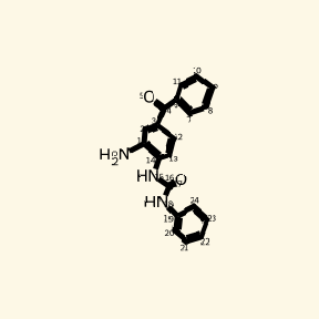 Nc1cc(C(=O)c2ccccc2)ccc1NC(=O)Nc1ccccc1